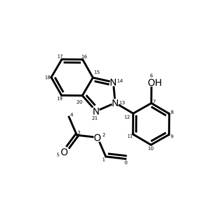 C=COC(C)=O.Oc1ccccc1-n1nc2ccccc2n1